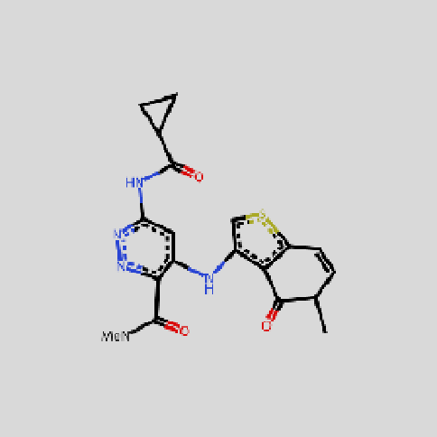 CNC(=O)c1nnc(NC(=O)C2CC2)cc1Nc1csc2c1C(=O)C(C)C=C2